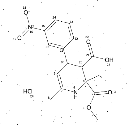 COC(=O)C1(C)NC(C)=CC(c2cccc([N+](=O)[O-])c2)C1C(=O)O.Cl